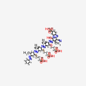 Cc1cc(N=Nc2cc(SCCCS(=O)(=O)O)c(N=Nc3cc(OCCCS(=O)(=O)O)c(N=Nc4c(C)c(C#N)c5nc6ccc(S(=O)(=O)O)cc6n5c4O)cc3C)cc2C)c(SCCCS(=O)(=O)O)cc1N=Nc1ccccc1